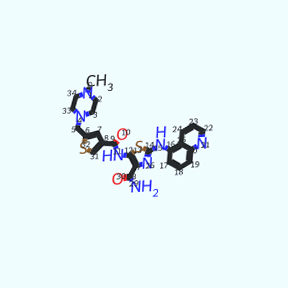 CN1CCN(Cc2cc(C(=O)Nc3sc(Nc4cccc5ncccc45)nc3C(N)=O)cs2)CC1